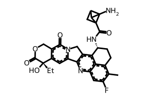 CC[C@@]1(O)C(=O)OCc2c1cc1n(c2=O)Cc2c-1nc1cc(F)c(C)c3c1c2[C@H](NC(=O)C12CC(C1)C2N)CC3